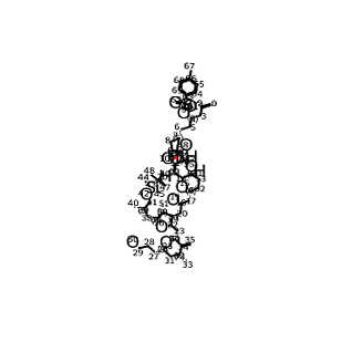 C=C(Br)C[C@@H](CC[C@@]12CC3OC4[C@@H](O1)C1O[C@@H](CC(=O)C[C@H]5C(C[C@H]6O[C@@H](CCC=O)C[C@@H](C)C6=C)O[C@H](C[C@H](C)CO[Si](C)(C)C(C)(C)C)[C@@H]5C)CC[C@@H]1O[C@H]4[C@H]3O2)OS(=O)(=O)c1ccc(C)cc1